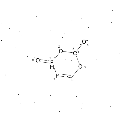 O=[PH]1O[O+]([O-])OC=P1